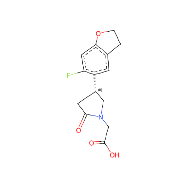 O=C(O)CN1C[C@@H](c2cc3c(cc2F)OCC3)CC1=O